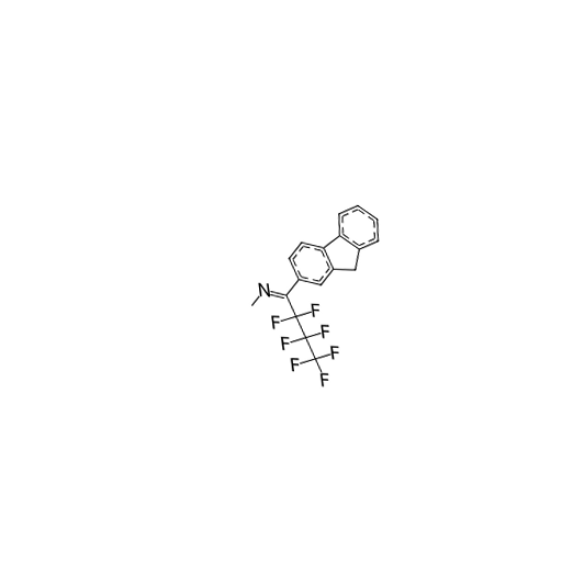 C/N=C(/c1ccc2c(c1)Cc1ccccc1-2)C(F)(F)C(F)(F)C(F)(F)F